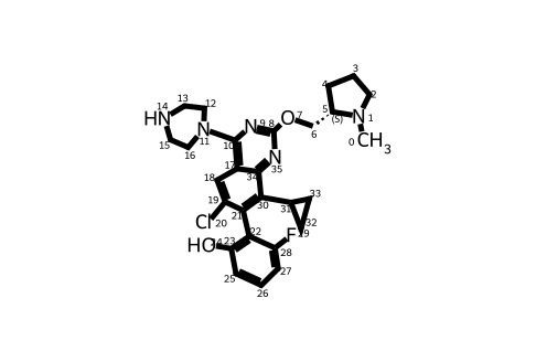 CN1CCC[C@H]1COc1nc(N2CCNCC2)c2cc(Cl)c(-c3c(O)cccc3F)c(C3CC3)c2n1